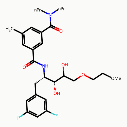 CCCN(CCC)C(=O)c1cc(C)cc(C(=O)N[C@@H](Cc2cc(F)cc(F)c2)[C@@H](O)C(O)COCCOC)c1